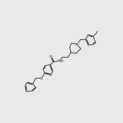 O=C(NCCC1CCN(Cc2cccc(F)c2)CC1)c1ccc(OCc2ccccc2)cc1